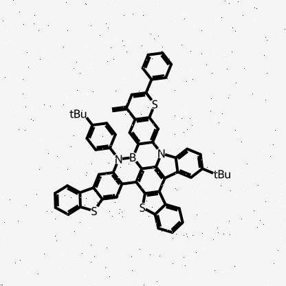 C=C1C=C(c2ccccc2)Sc2cc3c(cc21)B1c2c(c4sc5ccccc5c4c4c5cc(C(C)(C)C)ccc5n-3c24)-c2cc3sc4ccccc4c3cc2N1c1ccc(C(C)(C)C)cc1